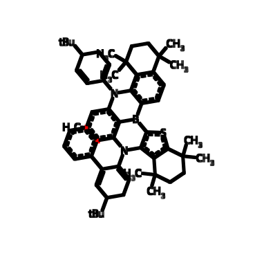 Cc1cc2c3c(c1)N(C1=CCC(C(C)(C)C)C=C1c1ccccc1)c1c(sc4c1C(C)(C)CCC4(C)C)B3c1ccc3c(c1N2C1=CCC(C(C)(C)C)C=C1)C(C)(C)CCC3(C)C